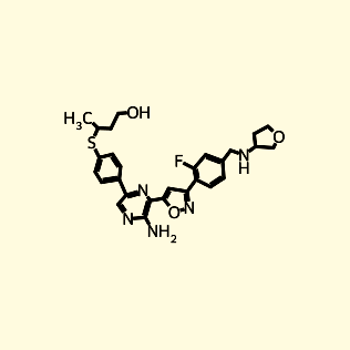 CC(CCO)Sc1ccc(-c2cnc(N)c(-c3cc(-c4ccc(CNC5CCOC5)cc4F)no3)n2)cc1